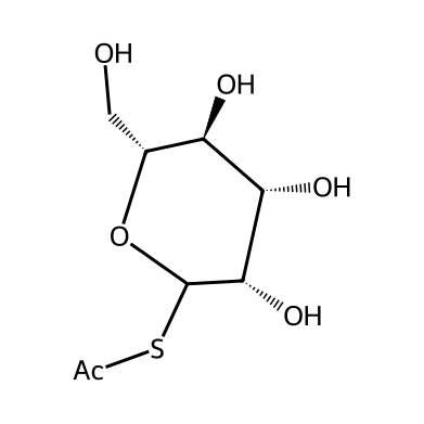 CC(=O)SC1O[C@H](CO)[C@@H](O)[C@H](O)[C@@H]1O